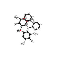 Cc1cc(C)c(B(c2ccccc2-c2ccccc2)c2c(C)cc(C)c(Cl)c2C)c(C)c1Cl